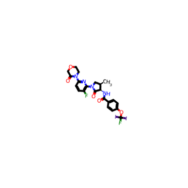 C[C@@H]1CN(c2nc(N3CCOCC3=O)ccc2F)C(=O)[C@H]1NC(=O)c1ccc(OC(F)(I)I)cc1